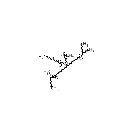 CCCCCCC(CCCC)COC(=O)CCCCCCCCC(CCCCCCCCC(=O)OCC(CCCC)CCCCCC)N(CCCCN(C)C)CCC(=O)OCCSSCCCCC